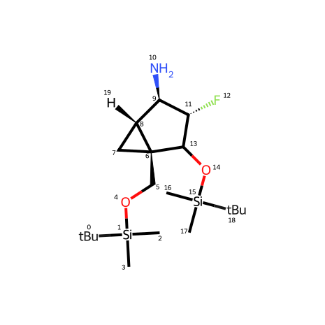 CC(C)(C)[Si](C)(C)OC[C@@]12C[C@@H]1[C@@H](N)[C@H](F)C2O[Si](C)(C)C(C)(C)C